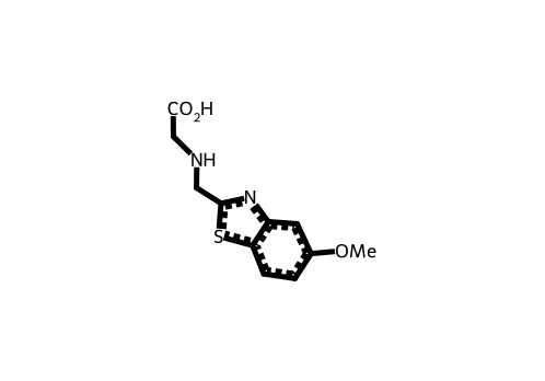 COc1ccc2sc(CNCC(=O)O)nc2c1